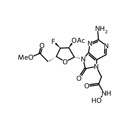 COC(=O)C[C@H]1O[C@@H](n2c(=O)n(CC(=O)NO)c3cnc(N)nc32)[C@H](OC(C)=O)[C@@H]1F